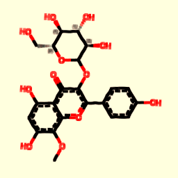 COc1c(O)cc(O)c2c(=O)c(OC3O[C@H](CO)[C@@H](O)[C@H](O)[C@H]3O)c(-c3ccc(O)cc3)oc12